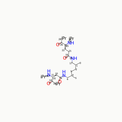 CC(CCC(C)CNC(=O)C[C@H](NC(C)C)C(=O)C(C)C)CNC(=O)CC[C@H](NC(C)C)C(=O)C(C)C